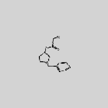 CC(=O)CC(=O)OC1CCN(Cc2ccccc2)C1